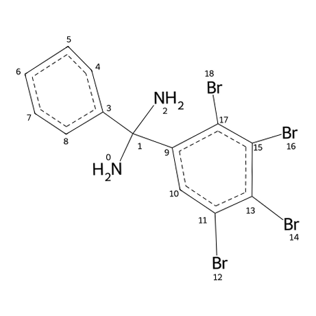 NC(N)(c1ccccc1)c1cc(Br)c(Br)c(Br)c1Br